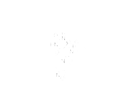 Cc1noc(C)c1-c1ccc2c(n1)CC1(C(=O)NC(=O)NC1=O)[C@H]1[C@H](C)O[C@H](C)CN21